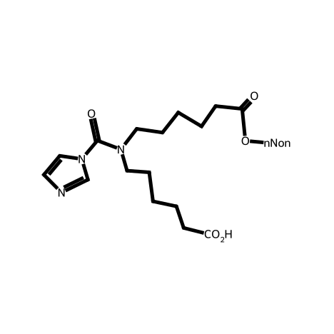 CCCCCCCCCOC(=O)CCCCCN(CCCCCC(=O)O)C(=O)n1ccnc1